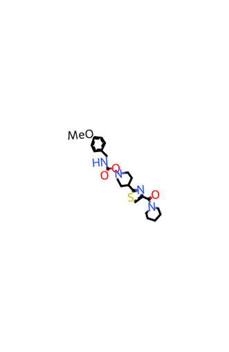 COc1ccc(CNC(=O)ON2CCC(c3nc(C(=O)N4CCCCC4)cs3)CC2)cc1